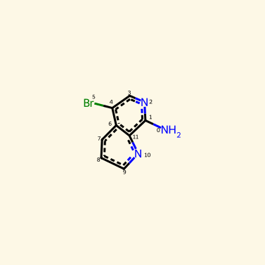 Nc1ncc(Br)c2cccnc12